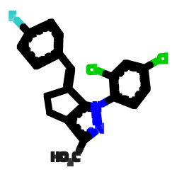 O=C(O)c1nn(-c2ccc(Cl)cc2Cl)c2c1CCC2=Cc1ccc(F)cc1